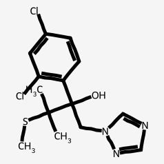 CSC(C)(C)C(O)(Cn1cncn1)c1ccc(Cl)cc1Cl